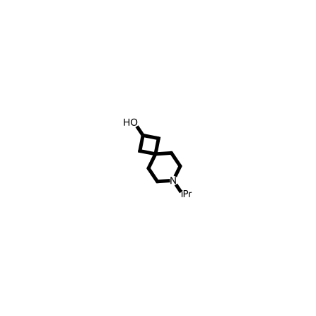 CC(C)N1CCC2(CC1)CC(O)C2